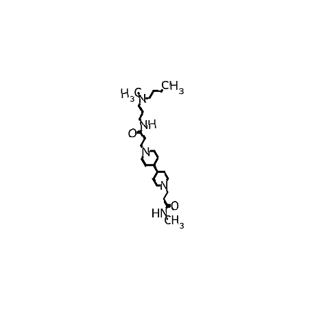 CCCCN(C)CCCNC(=O)CCN1CCC(C2CCN(CCC(=O)NC)CC2)CC1